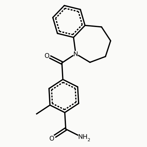 Cc1cc(C(=O)N2CCCCc3ccccc32)ccc1C(N)=O